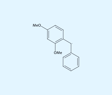 COc1ccc([CH]c2ccccc2)c(OC)c1